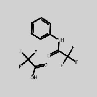 O=C(Nc1ccccc1)C(F)(F)F.O=C(O)C(F)(F)F